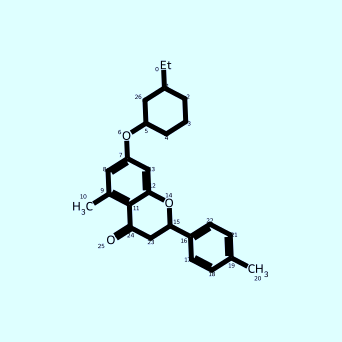 CCC1CCCC(Oc2cc(C)c3c(c2)OC(c2ccc(C)cc2)CC3=O)C1